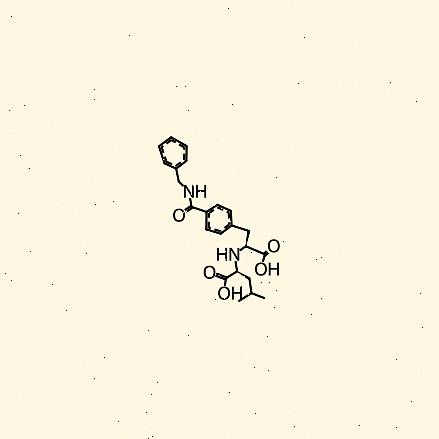 CC(C)C[C@H](N[C@@H](Cc1ccc(C(=O)NCc2ccccc2)cc1)C(=O)O)C(=O)O